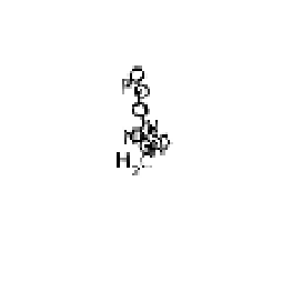 C=CC(=O)N1CCCC1c1nc(-c2ccc(COc3ccccc3F)cc2)c2cnccn12